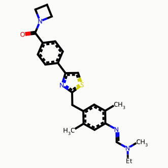 CCN(C)/C=N/c1cc(C)c(Cc2nc(-c3ccc(C(=O)N4CCC4)cc3)cs2)cc1C